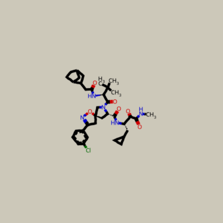 CNC(=O)C(=O)[C@H](CC1CC1)NC(=O)[C@@H]1C[C@]2(CC(c3cccc(Cl)c3)=NO2)CN1C(=O)[C@@H](NC(=O)CC1CC2CCC1C2)C(C)(C)C